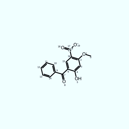 COc1cc(O)c(C(=O)c2ccccc2)cc1[N+](=O)[O-]